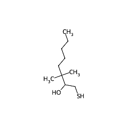 CCCCCC(C)(C)C(O)CS